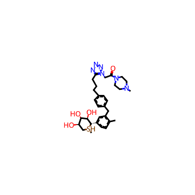 Cc1ccc([C@H]2[C@H](O)[C@H](O)[C@H](O)C[SH]2C)cc1Cc1ccc(CCCc2nnnn2CC(=O)N2CCN(C)CC2)cc1